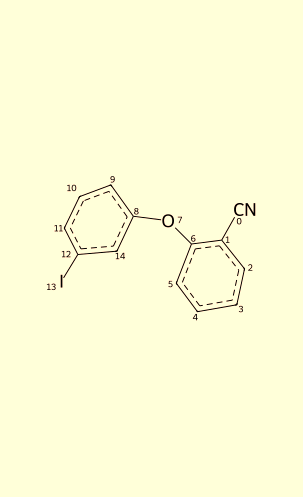 N#Cc1ccccc1Oc1cccc(I)c1